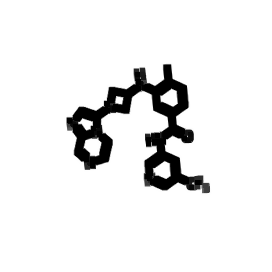 Cc1ccc(C(=O)Nc2cncc(C(F)(F)F)c2)cc1NC1CN(c2cnc3cnccn23)C1